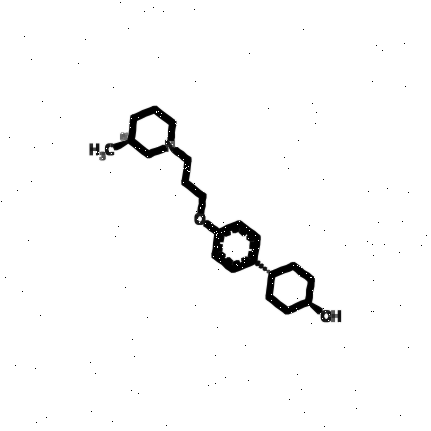 C[C@H]1CCCN(CCCOc2ccc([C@H]3CC[C@H](O)CC3)cc2)C1